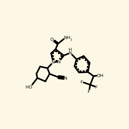 N#CC1CC(O)CCC1n1cc(C(N)=O)c(Nc2ccc(C(O)C(F)(F)F)cc2)n1